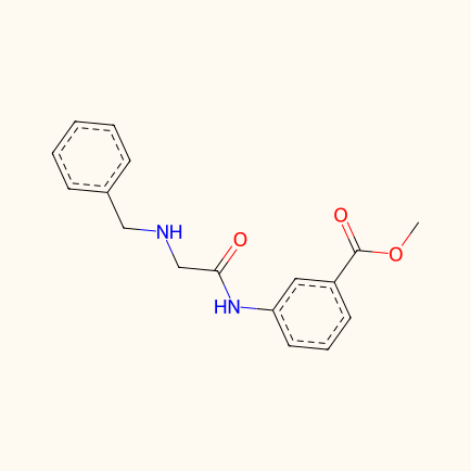 COC(=O)c1cccc(NC(=O)CNCc2ccccc2)c1